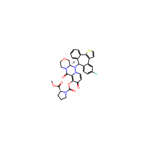 COC(=O)[C@@H]1CCCN1C(=O)Oc1c2n(ccc1=O)N(C1c3ccc(F)cc3-c3ccsc3-c3ccccc31)[C@@H]1COCCN1C2=O